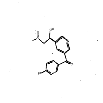 C[SiH](C)OC(c1cncc(C(=O)c2ccc(F)cc2)c1)C(C)(C)C